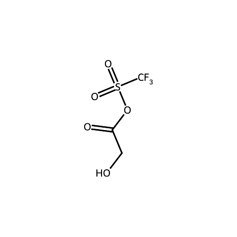 O=C(CO)OS(=O)(=O)C(F)(F)F